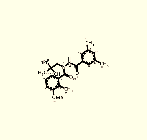 CCCC(C)(C)CN(NC(=O)c1cc(C)cc(C)c1)C(=O)c1cccc(OC)c1C